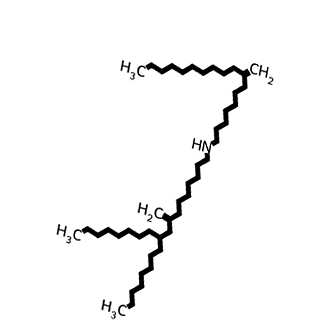 C=C(CCCCCCCCCC)CCCCCCCNCCCCCCCC(=C)CC(CCCCCCCC)CCCCCCCC